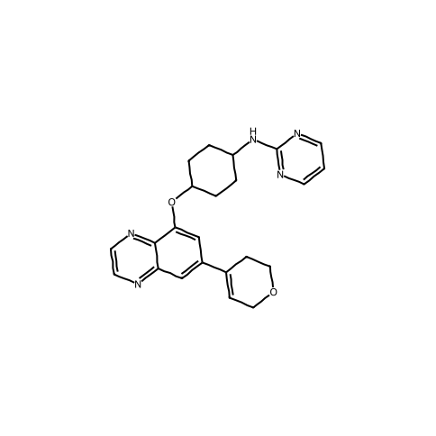 C1=C(c2cc(OC3CCC(Nc4ncccn4)CC3)c3nccnc3c2)CCOC1